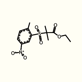 CCOC(=O)C(C)(C)S(=O)(=O)c1cc([N+](=O)[O-])ccc1C